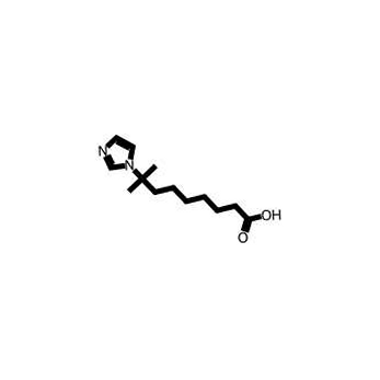 CC(C)(CCCCCCC(=O)O)n1ccnc1